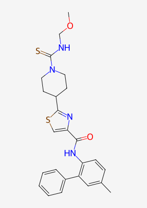 COCNC(=S)N1CCC(c2nc(C(=O)Nc3ccc(C)cc3-c3ccccc3)cs2)CC1